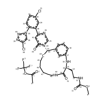 CC(=O)OC(F)(F)F.COC(=O)NCC[C@@H]1Nc2cccc(c2)[C@@H](n2cnc(-c3cc(Cl)ccc3-n3cc(Cl)nn3)cc2=O)CCCCCNC1=O